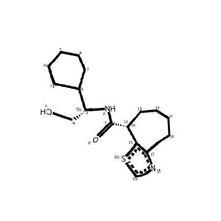 O=C(N[C@H](CO)C1CCCCC1)[C@@H]1CCCCc2ncsc21